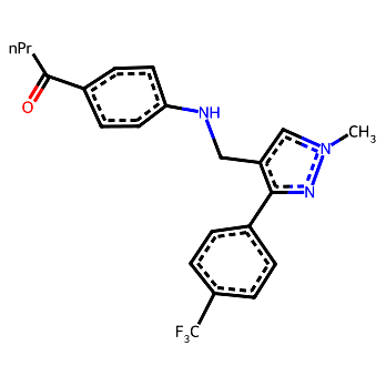 CCCC(=O)c1ccc(NCc2cn(C)nc2-c2ccc(C(F)(F)F)cc2)cc1